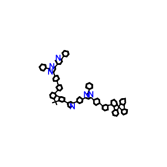 CC1(C)c2cc(-c3ccnc(-c4ccc(-c5cc(-c6ccc(-c7cccc(-c8cccc9c8-c8ccccc8C98c9ccccc9-c9ccccc98)c7)cc6)nc(-c6ccccc6)n5)cc4)c3)ccc2-c2c(-c3cccc(-c4ccc(-c5cc(-c6ccc(-c7ccccc7)nc6)nc(-c6ccccc6)n5)cc4)c3)cccc21